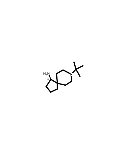 CC(C)(C)N1CCC2(CCC[C@H]2N)CC1